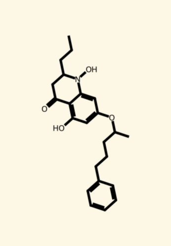 CCCC1CC(=O)c2c(O)cc(OC(C)CCCc3ccccc3)cc2N1O